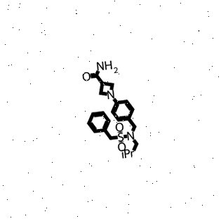 CC(C)CN(Cc1ccc(N2CC(C(N)=O)C2)cc1)S(=O)(=O)Cc1ccccc1